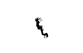 C=C/C=C(\C=C/C)c1cccc(CN2CCN(c3cccc4c3oc(=O)n4COC(=O)CCCC/C=C\C/C=C\C/C=C\C/C=C\CC)CC2)c1